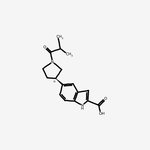 CC(C)C(=O)N1CC[C@H](c2ccc3[nH]c(C(=O)O)cc3c2)C1